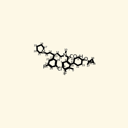 Cc1c(F)ccc([C@@H](C(=O)O)N(C)CC[C@H](CCN2CCCCC2)c2cc(F)cc(Cl)c2)c1C1CCC(OC2(C)CC2)CC1